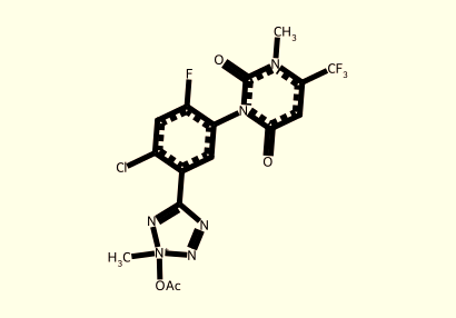 CC(=O)O[N+]1(C)N=NC(c2cc(-n3c(=O)cc(C(F)(F)F)n(C)c3=O)c(F)cc2Cl)=N1